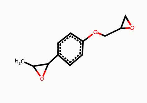 CC1OC1c1ccc(OCC2CO2)cc1